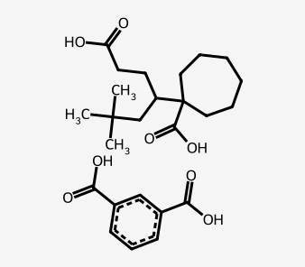 CC(C)(C)CC(CCC(=O)O)C1(C(=O)O)CCCCCC1.O=C(O)c1cccc(C(=O)O)c1